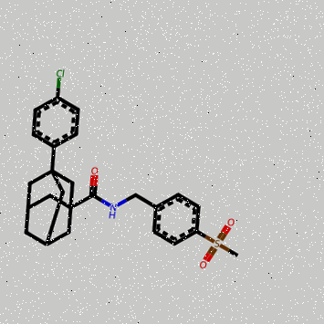 CS(=O)(=O)c1ccc(CNC(=O)C23CC4CC(C2)CC(c2ccc(Cl)cc2)(C4)C3)cc1